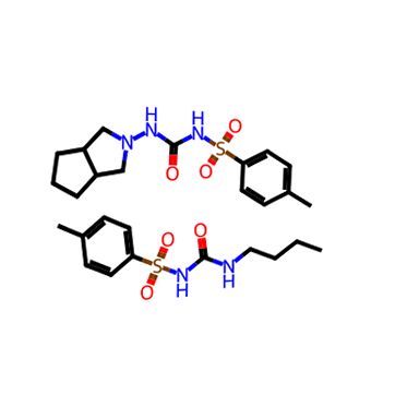 CCCCNC(=O)NS(=O)(=O)c1ccc(C)cc1.Cc1ccc(S(=O)(=O)NC(=O)NN2CC3CCCC3C2)cc1